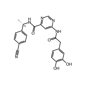 C[C@H](NC(=O)c1cc(NC(=O)Cc2ccc(O)c(O)c2)ncn1)c1ccc(C#N)cc1